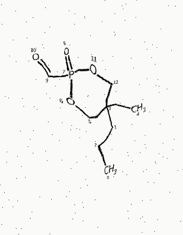 CCCC1(C)COP(=O)(C=O)OC1